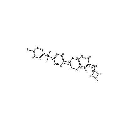 Cc1ccc(C(C)(C)c2ccc(N3CCc4nc(NC5COC5)ncc4C3)cc2)cc1